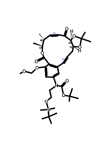 COCOc1cc(N(CCO[Si](C)(C)C(C)(C)C)C(=O)OC(C)(C)C)cc2c1C(=O)O[C@@H](C)[C@H](C)/C=C\C(=O)[C@H]1OC(C)(C)O[C@H]1C/C=C/2